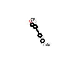 CCCC[C@H]1CC[C@H](c2ccc(C#Cc3ccc4cc(OC(F)(F)F)ccc4c3)cc2)CC1